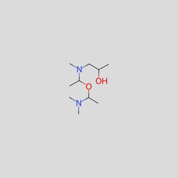 CC(O)CN(C)C(C)OC(C)N(C)C